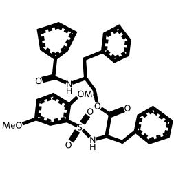 COc1ccc(OC)c(S(=O)(=O)NC(Cc2ccccc2)C(=O)OCC(Cc2ccccc2)NC(=O)c2ccccc2)c1